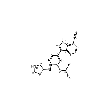 N#Cc1cccc2c(-c3cnc(NC4CCNC4)c(OC(F)F)n3)c[nH]c12